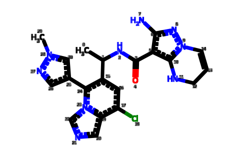 CC(NC(=O)c1c(N)nn2c1NCC=C2)c1cc(Cl)c2cncn2c1-c1cnn(C)c1